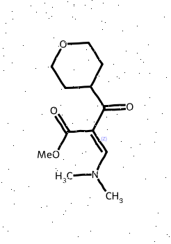 COC(=O)/C(=C\N(C)C)C(=O)C1CCOCC1